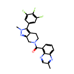 Cc1cnc2c(C(=O)N3CCc4c(nn(C)c4-c4cc(F)c(F)c(F)c4)C3)cccc2n1